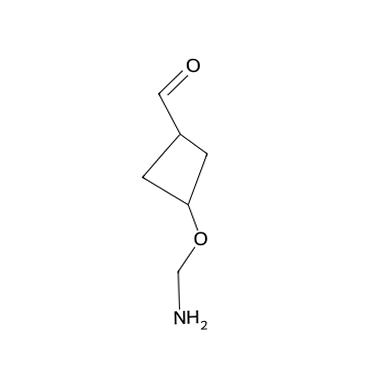 NCOC1CC(C=O)C1